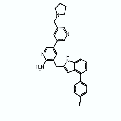 Nc1ncc(-c2cncc(CN3CCCC3)c2)cc1Cc1cc2c(-c3ccc(F)cc3)cccc2[nH]1